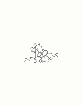 CON=CC(=O)N(c1coc(N)n1)[C@@H]1C(=O)N2C(C(=O)O)=C(COC(C)=O)CS[C@@H]12